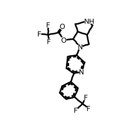 O=C(OC1C2CNCC2CN1c1ccc(-c2cccc(C(F)(F)F)c2)nc1)C(F)(F)F